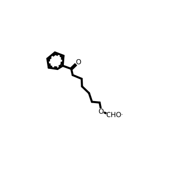 O=[C]OCCCCCCC(=O)c1ccccc1